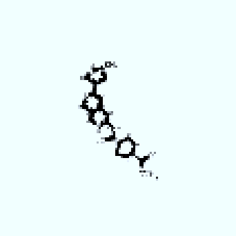 COC(=O)[C@H]1CC[C@H](C(=O)Nc2cc3cc(-c4cnn(C)c4)ncc3cn2)CC1